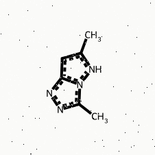 Cc1cc2nnc(C)n2[nH]1